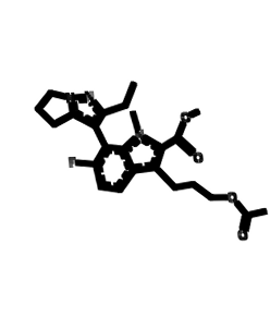 CCc1nn2c(c1-c1c(F)ccc3c(CCCOC(C)=O)c(C(=O)OC)n(C)c13)CCC2